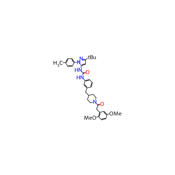 COc1ccc(OC)c(CC(=O)N2CCC(Cc3cccc(NC(=O)Nc4cc(C(C)(C)C)nn4-c4ccc(C)cc4)c3)CC2)c1